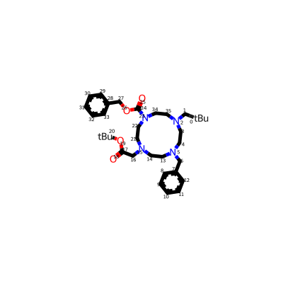 CC(C)(C)CN1CCN(Cc2ccccc2)CCN(CC(=O)OC(C)(C)C)CCN(C(=O)OCc2ccccc2)CC1